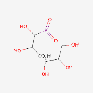 O=C(O)C(O)C(O)P(=O)=O.OCC(O)CO